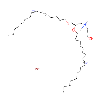 CCCCCCCC/C=C\CCCCCCCCOCC(C[N+](C)(C)CCO)OCCCCCCCC/C=C\CCCCCCCC.[Br-]